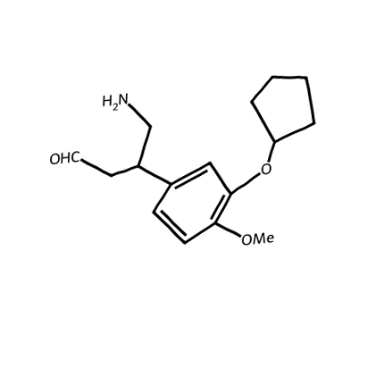 COc1ccc(C(CN)CC=O)cc1OC1CCCC1